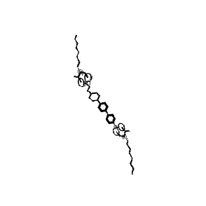 CCCCCCCC[C@@H]1CO[C@@H](CCC2CCC(c3ccc(-c4ccc([C@@H]5OC[C@@H](CCCCCCCC)C(C)O5)cc4)cc3)CC2)OC1C